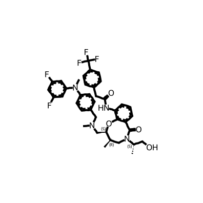 C[C@@H]1CN([C@@H](C)CO)C(=O)c2cccc(NC(=O)Cc3ccc(C(F)(F)F)cc3)c2O[C@@H]1CN(C)Cc1ccc(N(C)c2cc(F)cc(F)c2)cc1